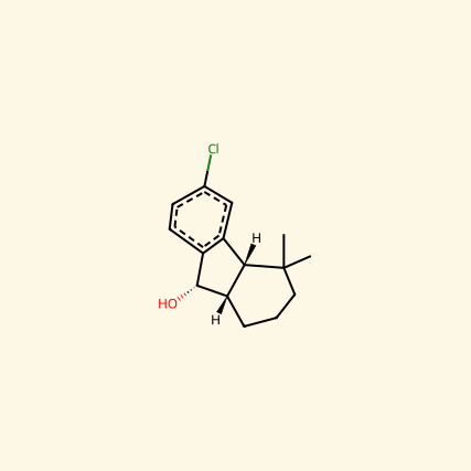 CC1(C)CCC[C@@H]2[C@H](O)c3ccc(Cl)cc3[C@@H]21